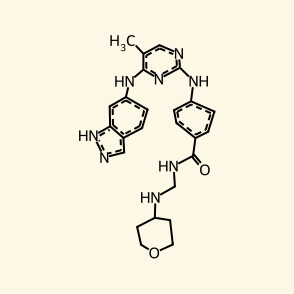 Cc1cnc(Nc2ccc(C(=O)NCNC3CCOCC3)cc2)nc1Nc1ccc2cn[nH]c2c1